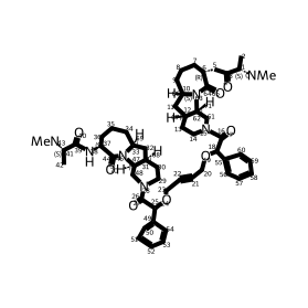 CN[C@@H](C)C(=O)C[C@H]1CCC[C@H]2C[C@H]3CCN(C(=O)C(OCC#CCOC(C(=O)N4CC[C@@H]5C[C@@H]6CCC[C@H](NC(=O)[C@H](C)NC)C(=O)N6[C@@H]5C4)c4ccccc4)c4ccccc4)C[C@H]3N2C1=O